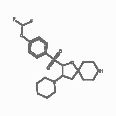 O=S(=O)(c1ccc(OC(F)F)cc1)C1OC2(CCNCC2)CC1N1CCCCC1